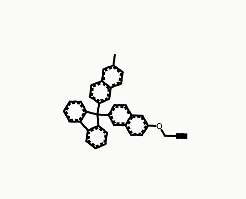 C#CCOc1ccc2cc(C3(c4ccc5cc(C)ccc5c4)c4ccccc4-c4ccccc43)ccc2c1